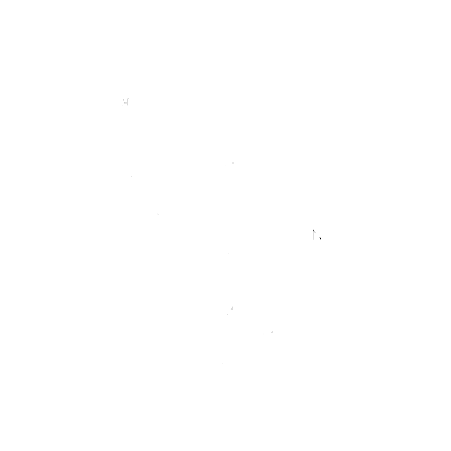 N#CC(CC1CC1)c1ccc(Br)cc1